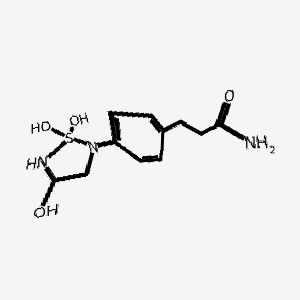 NC(=O)CCc1ccc(N2CC(O)NS2(O)O)cc1